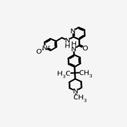 CN1CCC(C(C)(C)c2ccc(NC(=O)c3cccnc3NCc3cc[n+]([O-])cc3)cc2)CC1